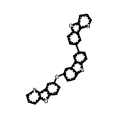 c1cnc2c(c1)oc1ccc(Oc3ccc4sc5ccc(-c6ccc7oc8cccnc8c7c6)cc5c4c3)cc12